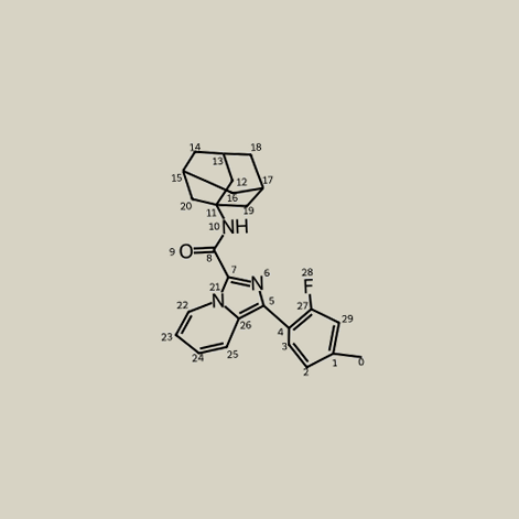 Cc1ccc(-c2nc(C(=O)NC34CC5CC(CC(C5)C3)C4)n3ccccc23)c(F)c1